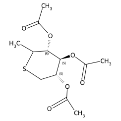 CC(=O)O[C@H]1[C@H](OC(C)=O)CSC(C)[C@@H]1OC(C)=O